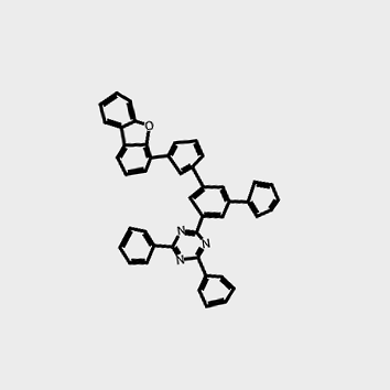 c1ccc(-c2cc(-c3cccc(-c4cccc5c4oc4ccccc45)c3)cc(-c3nc(-c4ccccc4)nc(-c4ccccc4)n3)c2)cc1